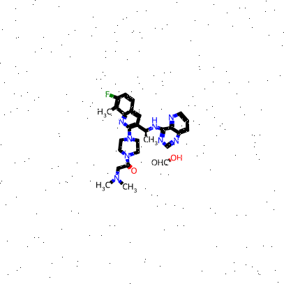 Cc1c(F)ccc2cc([C@H](C)Nc3ncnc4cccnc34)c(N3CCN(C(=O)CN(C)C)CC3)nc12.O=CO